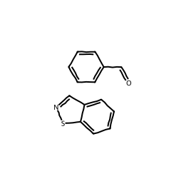 O=Cc1ccccc1.c1ccc2sncc2c1